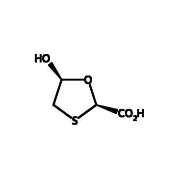 O=C(O)[C@@H]1O[C@H](O)CS1